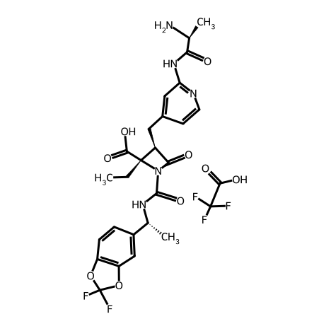 CC[C@@]1(C(=O)O)[C@@H](Cc2ccnc(NC(=O)[C@H](C)N)c2)C(=O)N1C(=O)N[C@H](C)c1ccc2c(c1)OC(F)(F)O2.O=C(O)C(F)(F)F